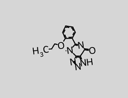 CCCOc1ccccc1C1=NC(=O)c2[nH]nnc2[N]1